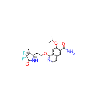 CC(C)Oc1cc2c(OCC[C@H]3NC(=O)C(F)(F)[C@H]3C)nccc2cc1C(N)=O